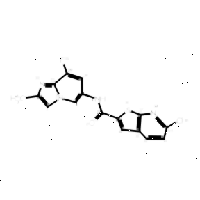 Cc1cn2cc(NC(=O)c3cc4ccc(Cl)nc4s3)cc(F)c2n1